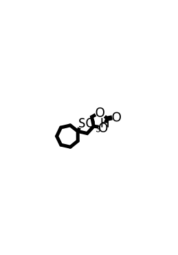 O=C1OCC(CC2(S(=O)(=O)O)CCCCCC2)O1